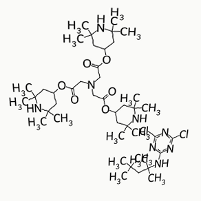 CC(C)(C)CC(C)(C)Nc1nc(Cl)nc(Cl)n1.CC1(C)CC(OC(=O)CN(CC(=O)OC2CC(C)(C)NC(C)(C)C2)CC(=O)OC2CC(C)(C)NC(C)(C)C2)CC(C)(C)N1